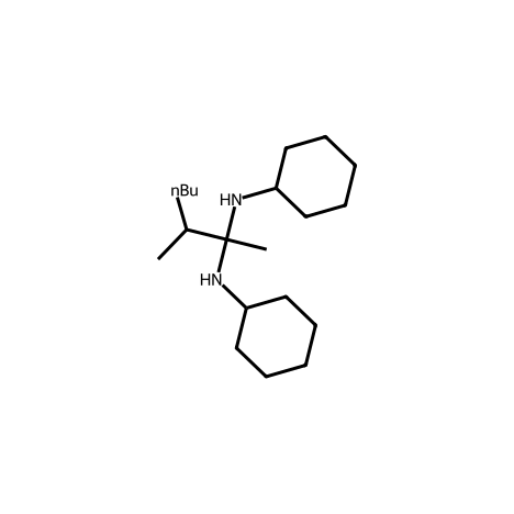 CCCCC(C)C(C)(NC1CCCCC1)NC1CCCCC1